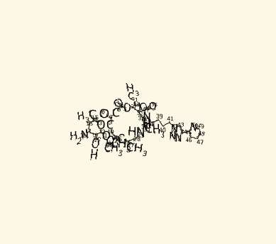 CC[C@H]1OC(=O)CC(=O)C[C@@H](O[C@@H]2O[C@H](C)CC(N)C2O)[C@](C)(OC)C[C@@H](C)CN[C@H](C)[C@@H]2[C@@H]1OC(=O)N2CCCCn1cc(-c2ccccn2)nn1